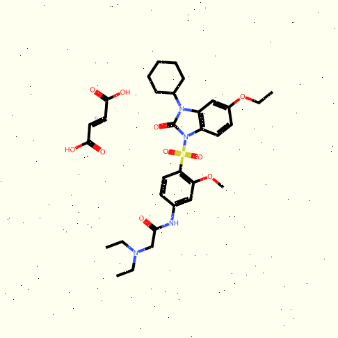 CCOc1ccc2c(c1)n(C1CCCCC1)c(=O)n2S(=O)(=O)c1ccc(NC(=O)CN(CC)CC)cc1OC.O=C(O)/C=C/C(=O)O